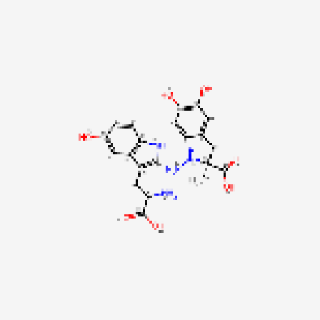 C[C@@](Cc1ccc(O)c(O)c1)(NN)C(=O)O.NC(Cc1c[nH]c2ccc(O)cc12)C(=O)O